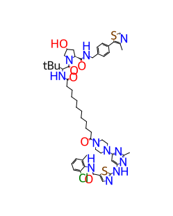 Cc1nc(Nc2ncc(C(=O)Nc3c(C)cccc3Cl)s2)cc(N2CCN(C(=O)CCCCCCCCCCC(=O)NC(C(=O)N3C[C@H](O)C[C@H]3C(=O)NCc3ccc(-c4scnc4C)cc3)C(C)(C)C)CC2)n1